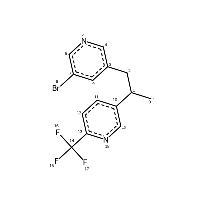 [CH2]C(Cc1cncc(Br)c1)c1ccc(C(F)(F)F)nc1